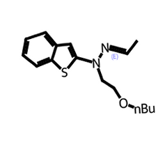 C/C=N/N(CCOCCCC)c1cc2ccccc2s1